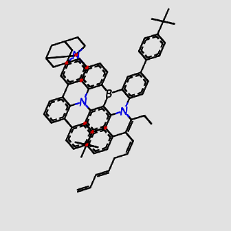 C=CC=CC/C=C\C(=C(/CC)N1c2ccc(-c3ccc(C(C)(C)C)cc3)cc2B2c3ccc(N4C5CC6CC(C5)CC4C6)cc3N(c3c(-c4ccccc4)cccc3-c3ccccc3)c3cc(C(C)(C)C)cc1c32)c1ccccc1